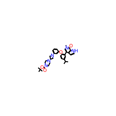 CC(C)c1ccc(Oc2cccc(N3CC(N4CCN(C(=O)OC(C)(C)C)CC4)C3)c2)c(-c2cn(C)c(=O)c3[nH]ccc23)c1